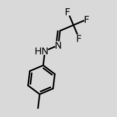 Cc1ccc(NN=CC(F)(F)F)cc1